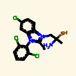 Cc1n(CC(C)(N)S)c2ccc(Cl)cc2[n+]1-c1c(Cl)cccc1Cl